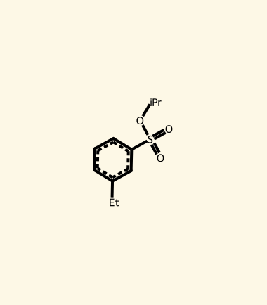 CCc1cccc(S(=O)(=O)OC(C)C)c1